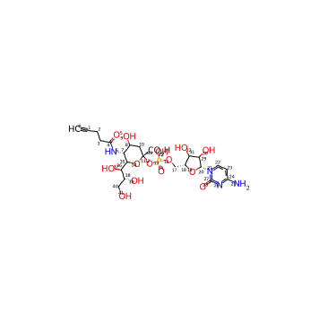 C#CCCC(=O)N[C@@H]1C(O)C[C@@](OP(=O)(O)OC[C@H]2O[C@@H](n3ccc(N)nc3=O)C(O)C2O)(C(=O)O)OC1[C@H](O)[C@H](O)CO